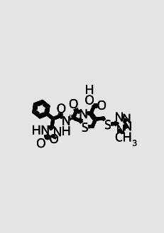 Cn1nnnc1SCC1=C(C(=O)O)N2C(=O)[C@H](NC(=O)C(c3ccccc3)c3noc(=O)[nH]3)C2SC1